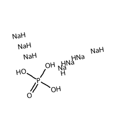 O=P(O)(O)O.[NaH].[NaH].[NaH].[NaH].[NaH].[NaH].[NaH]